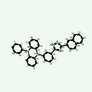 c1ccc(N2c3ccccc3N(c3cccc(-c4nsc(-c5ccc6ccccc6c5)n4)c3)c3ccccc32)cc1